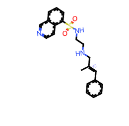 C/C(=C\c1ccccc1)CNCCNS(=O)(=O)c1cccc2cnccc12